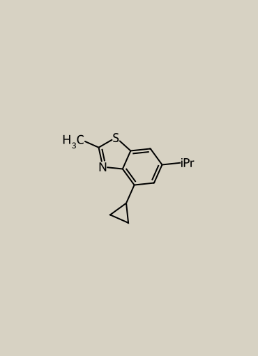 Cc1nc2c(C3CC3)cc(C(C)C)cc2s1